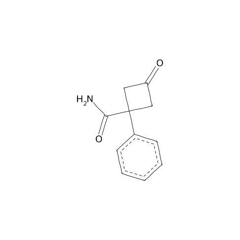 NC(=O)C1(c2ccccc2)CC(=O)C1